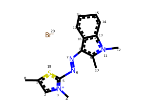 Cc1c[n+](C)c(N=Nc2c(C)n(C)c3ccccc23)s1.[Br-]